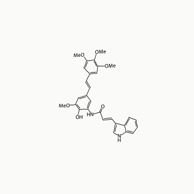 COc1cc(/C=C/c2cc(OC)c(OC)c(OC)c2)cc(NC(=O)/C=C/c2c[nH]c3ccccc23)c1O